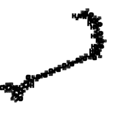 CC(=O)N1c2ccc(-c3ccc(C(=O)NCCOCCOCCOCCOCCOCCOCCOCCOCCNC(=O)c4cc(NC(=O)c5nc(NC(=O)CCNC(=O)c6cc(NC(=O)c7nc(N)cn7C)cn6C)cn5C)cn4C)cc3)cc2C(Nc2ccc(Cl)cc2)C[C@@H]1C